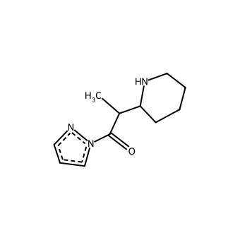 CC(C(=O)n1cccn1)C1CCCCN1